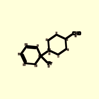 CC(C)C1(N2CCC(C=O)CC2)C=CC=CC1